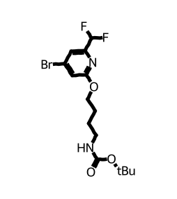 CC(C)(C)OC(=O)NCCCCOc1cc(Br)cc(C(F)F)n1